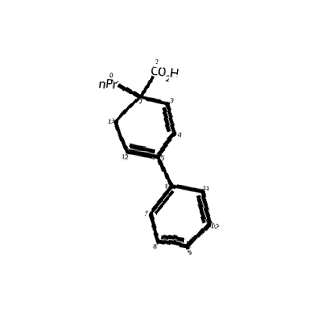 CCCC1(C(=O)O)C=CC(c2ccccc2)=CC1